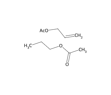 C=CCOC(C)=O.CCCOC(C)=O